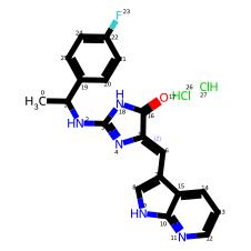 CC(NC1=N/C(=C\c2c[nH]c3ncccc23)C(=O)N1)c1ccc(F)cc1.Cl.Cl